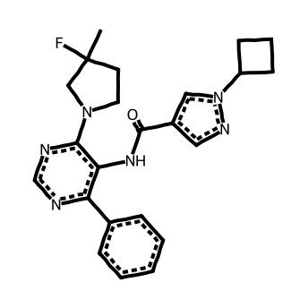 CC1(F)CCN(c2ncnc(-c3ccccc3)c2NC(=O)c2cnn(C3CCC3)c2)C1